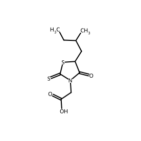 CCC(C)CC1SC(=S)N(CC(=O)O)C1=O